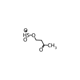 CC(=O)CCO[SH](=O)=O